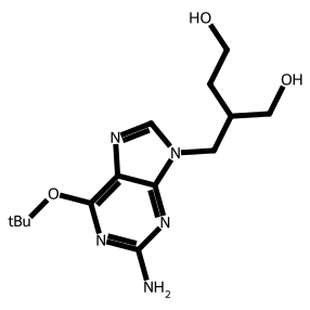 CC(C)(C)Oc1nc(N)nc2c1ncn2CC(CO)CCO